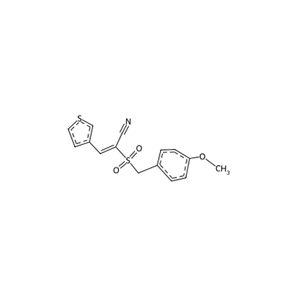 COc1ccc(CS(=O)(=O)/C(C#N)=C/c2ccsc2)cc1